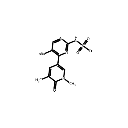 CCCCc1cnc(NS(=O)(=O)CC)nc1-c1cc(C)c(=O)n(C)c1